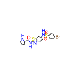 O=C(Nc1nc2ccc(NS(=O)(=O)c3ccc(Br)cc3)cc2s1)c1ccc[nH]1